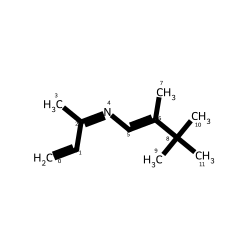 C=C/C(C)=N\C=C(/C)C(C)(C)C